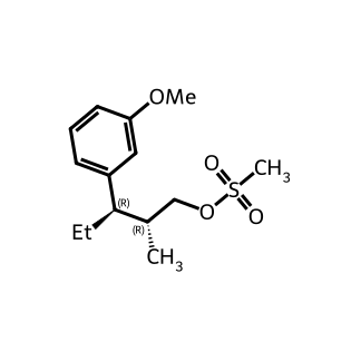 CC[C@@H](c1cccc(OC)c1)[C@@H](C)COS(C)(=O)=O